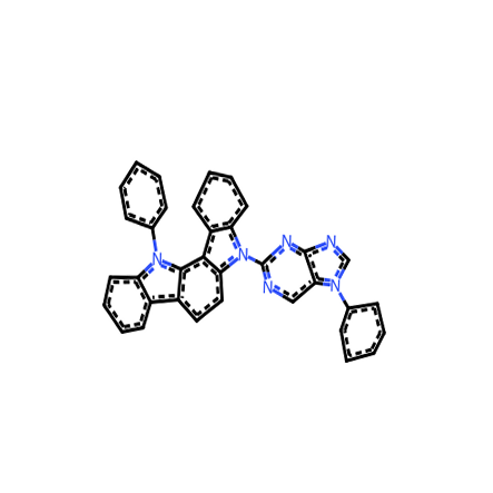 c1ccc(-n2cnc3nc(-n4c5ccccc5c5c4ccc4c6ccccc6n(-c6ccccc6)c45)ncc32)cc1